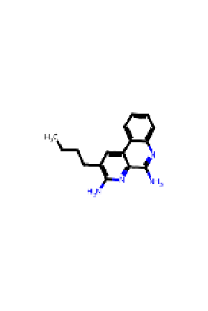 CCCCc1cc2c(nc1N)c(N)nc1ccccc12